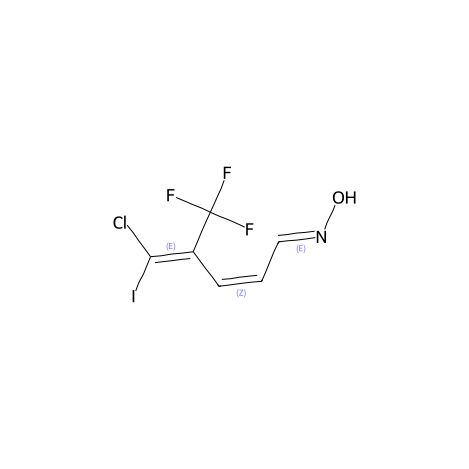 O/N=C/C=C\C(=C(\Cl)I)C(F)(F)F